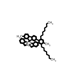 CCCCCCCCc1cc(-c2ccc3c(c2)C(n2ncc4ccccc42)(n2ncc4ccccc42)c2cc(C)ccc2-3)c(CCCCCCCC)cc1C